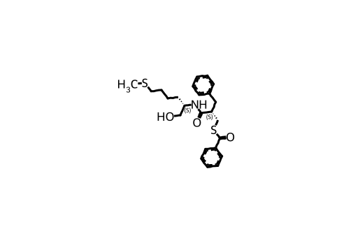 CSCCCC[C@@H](CO)NC(=O)[C@@H](CSC(=O)c1ccccc1)Cc1ccccc1